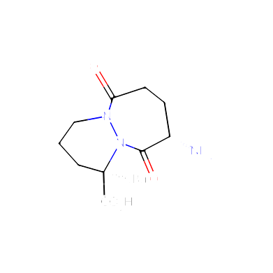 CC(C)(C)[C@]1(C(=O)O)CCCN2C(=O)CC[C@H](N)C(=O)N21